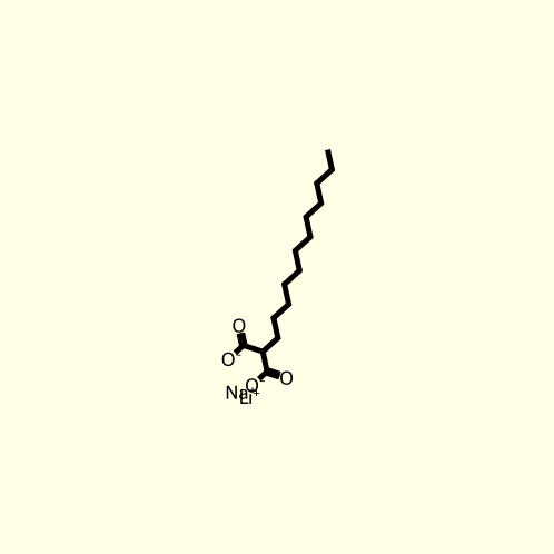 CCCCCCCCCCCCC(C(=O)[O-])C(=O)[O-].[Li+].[Na+]